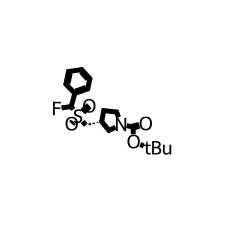 CC(C)(C)OC(=O)N1CC[C@@H](CS(=O)(=O)C(F)c2ccccc2)C1